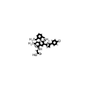 CCc1cccc(CC)c1-n1c(CC(C)C)c(C(=O)NCC(=O)O)cc(-c2nc(-c3ccc(Cl)cc3)cs2)c1=O